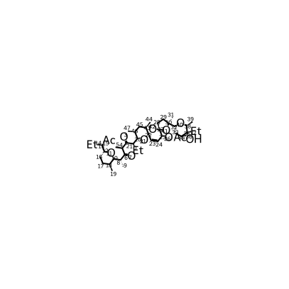 CC[C@@H](C(=O)C(C)C(=O)[C@H](C)[C@@H]1O[C@@H]([C@@H](CC)C(C)=O)CC[C@@H]1C)[C@H]1O[C@]2(C=C[C@@H](OC(C)=O)[C@]3(CC[C@@](C)([C@H]4CC[C@](O)(CC)[C@H](C)O4)O3)O2)[C@H](C)C[C@@H]1C